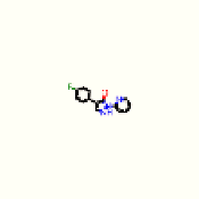 O=c1c(-c2ccc(F)cc2)c[nH]n1-c1ccccn1